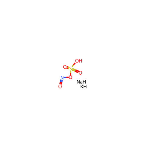 O=NOS(=O)(=O)O.[KH].[NaH]